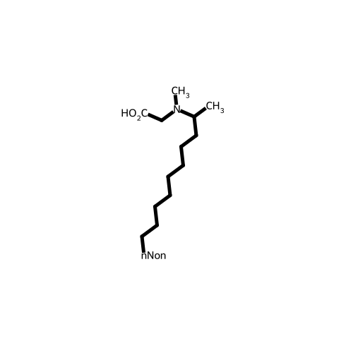 CCCCCCCCCCCCCCCCCC(C)N(C)CC(=O)O